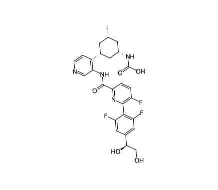 C[C@@H]1C[C@H](NC(=O)O)C[C@H](c2ccncc2NC(=O)c2ccc(F)c(-c3c(F)cc([C@H](O)CO)cc3F)n2)C1